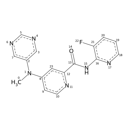 CN(c1cncnc1)c1ccnc(C(=O)Nc2ncccc2F)c1